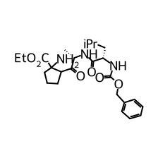 CCOC(=O)C1(N)CCCC1C(=O)[C@H](C)NC(=O)[C@H](CC(C)C)NC(=O)OCc1ccccc1